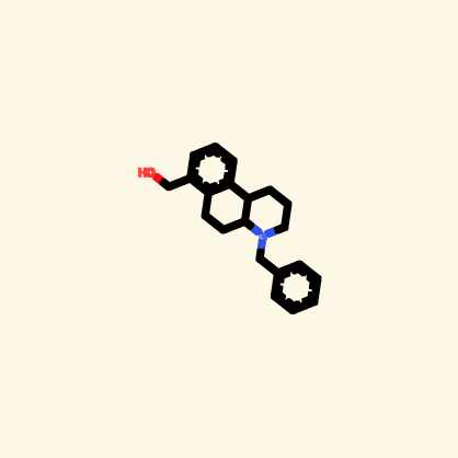 OCc1cccc2c1CCC1C2CCCN1Cc1ccccc1